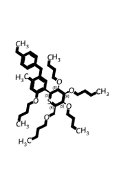 CCCCOC[C@H]1S[C@@H](c2cc(Cc3ccc(CC)cc3)c(C)cc2OCCCC)[C@H](OCCCC)[C@@H](OCCCC)[C@@H]1OCCCC